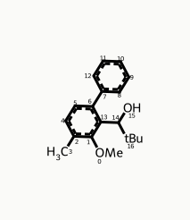 COc1c(C)ccc(-c2ccccc2)c1C(O)C(C)(C)C